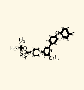 Cc1cc(N2CCN(C(=O)OC(C)(C)C)CC2)cc(-c2ccc(Oc3ccc(F)cc3)cc2)n1